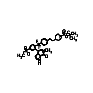 CCS(=O)(=O)c1ccc(C(F)(F)c2ccc(CCC3CCN(C(=O)OC(C)(C)C)CC3)cc2)c(-c2cn(C)c(=O)c3[nH]ccc23)c1